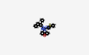 c1ccc(-c2cc(C3N=C(c4cccc5oc6ccccc6c45)N=C(c4ccc5c(c4)sc4ccccc45)N3)cc3c2ccc2ccccc23)cc1